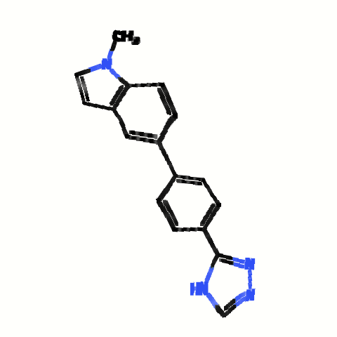 Cn1ccc2cc(-c3ccc(-c4nnc[nH]4)cc3)ccc21